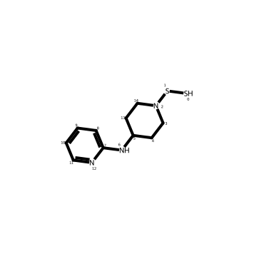 SSN1CCC(Nc2ccccn2)CC1